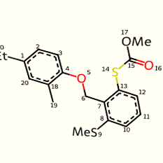 CCc1ccc(OCc2c(SC)cccc2SC(=O)OC)c(C)c1